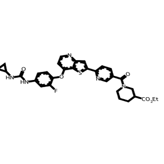 CCOC(=O)C1CCCN(C(=O)c2ccc(-c3cc4nccc(Oc5ccc(NC(=O)NC6CC6)cc5F)c4s3)nc2)C1